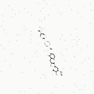 CCc1c(OC(=O)N2CCN(c3ncc(C(=O)NO)cn3)CC2)ccc2nc3c(cc12)Cn1c-3cc2c(c1=O)COC(=O)[C@]2(O)CC